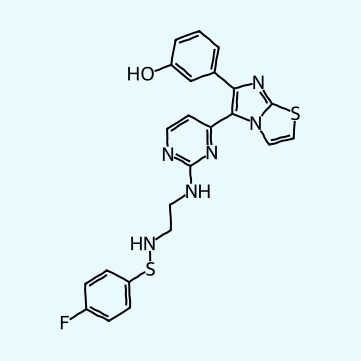 Oc1cccc(-c2nc3sccn3c2-c2ccnc(NCCNSc3ccc(F)cc3)n2)c1